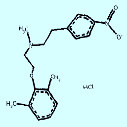 Cc1cccc(C)c1OCCN(C)CCc1ccc([N+](=O)[O-])cc1.Cl